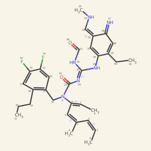 C\C=C/C(C)=C\C(=C/C)N(Cc1cc(F)c(F)cc1CCC)C(=O)/N=C(\NC=O)NC1=C/C(=C/NC)C(=N)C=C1CC